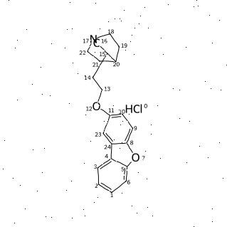 Cl.c1ccc2c(c1)oc1ccc(OCCC3CN4CCC3CC4)cc12